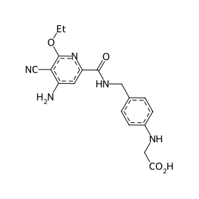 CCOc1nc(C(=O)NCc2ccc(NCC(=O)O)cc2)cc(N)c1C#N